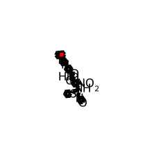 O=C(NS(=O)(=O)c1ccc(N[C@H](CCN2CCOCC2)CSc2ccccc2)c([N+](=O)[O-])c1)c1ccc(N2CCN(C34CC5CC(CC(C5)C3)C4)CC2)cc1